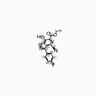 CCOC(=O)c1nc(C#N)c2c(-c3ccc(F)cc3)noc2c1O